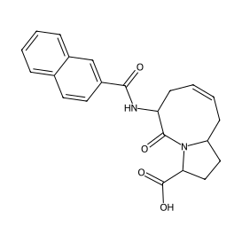 O=C(NC1C/C=C\CC2CCC(C(=O)O)N2C1=O)c1ccc2ccccc2c1